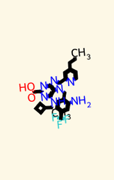 CCCc1ccnc(-c2nc3nc(C(=O)O)nc(N[C@H](C)C4CCC4)c3n2Cc2ccc(C(F)(F)F)cc2N)c1